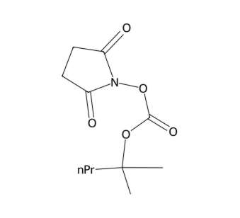 CCCC(C)(C)OC(=O)ON1C(=O)CCC1=O